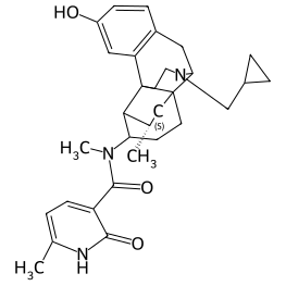 Cc1ccc(C(=O)N(C)C2CCC34C[C@H](C)C2C32CCN(CC3CC3)C4Cc3ccc(O)cc32)c(=O)[nH]1